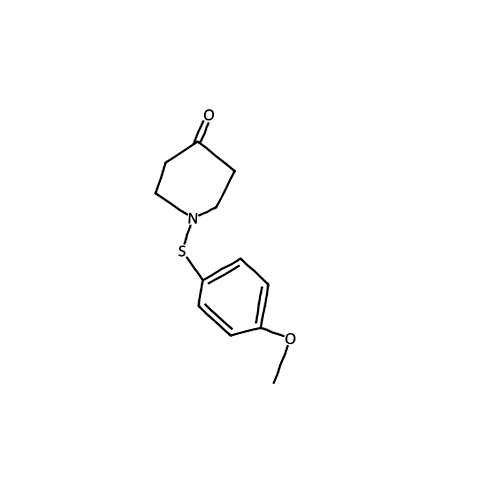 COc1ccc(SN2CCC(=O)CC2)cc1